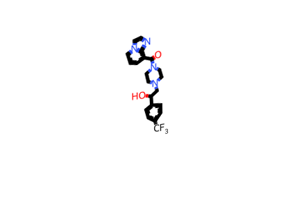 O=C(c1cccn2ccnc12)N1CCN(CC(O)c2ccc(C(F)(F)F)cc2)CC1